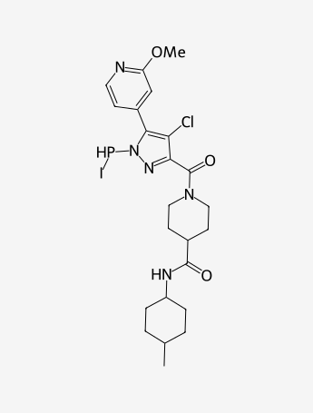 COc1cc(-c2c(Cl)c(C(=O)N3CCC(C(=O)NC4CCC(C)CC4)CC3)nn2PI)ccn1